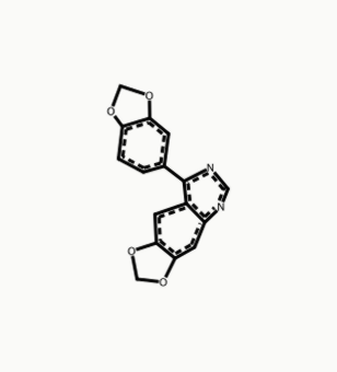 c1nc(-c2ccc3c(c2)OCO3)c2cc3c(cc2n1)OCO3